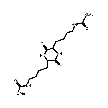 COC(=O)NCCCCC1NC(=O)C(CCCCNC(=O)OC)NC1=O